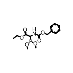 CCOC(=O)C(NC(=O)OCc1ccccc1)P(OC)OC